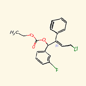 CCOC(=O)OC(/C(=C/CCl)c1ccccc1)c1cccc(F)c1